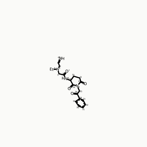 CCN(CC=N)CC(=O)NC1CCC(=O)N(CC(=O)c2ccccc2)C1=O